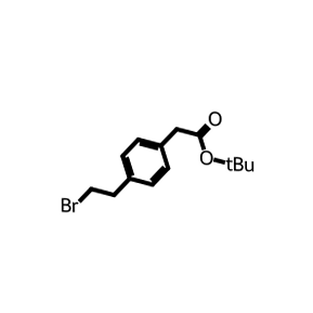 CC(C)(C)OC(=O)Cc1ccc(CCBr)cc1